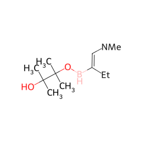 CC/C(BOC(C)(C)C(C)(C)O)=C\NC